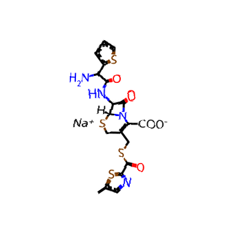 Cc1cnc(C(=O)SCC2=C(C(=O)[O-])N3C(=O)C(NC(=O)C(N)c4cccs4)[C@H]3SC2)s1.[Na+]